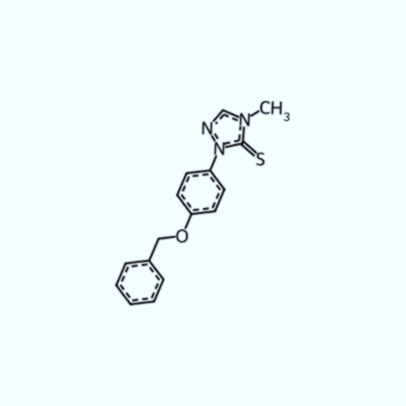 Cn1cnn(-c2ccc(OCc3ccccc3)cc2)c1=S